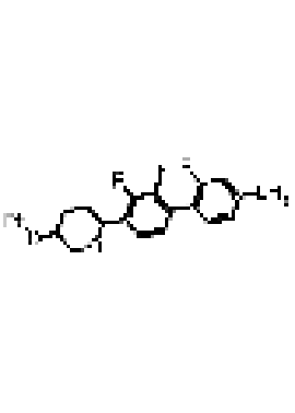 CCOC1CCC(c2ccc(-c3ccc(C)cc3F)c(F)c2F)OC1